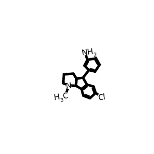 CN1CCCC2C(c3cccc(N)c3)c3cc(Cl)ccc3C21